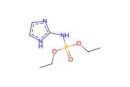 CCOP(=O)(Nc1ncc[nH]1)OCC